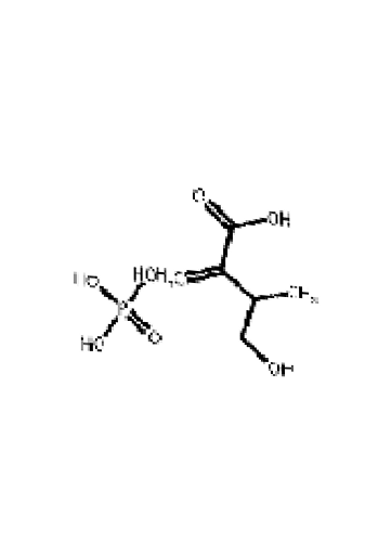 C=C(C(=O)O)C(C)CO.O=P(O)(O)O